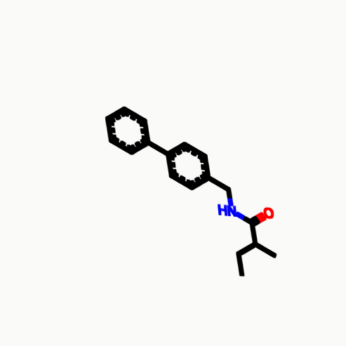 CCC(C)C(=O)NCc1ccc(-c2ccccc2)cc1